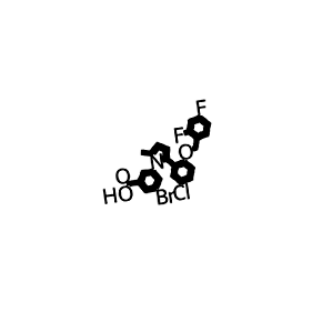 Cc1ccc(-c2cc(Cl)ccc2OCc2ccc(F)cc2F)n1-c1cc(Br)cc(C(=O)O)c1